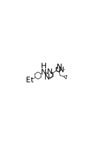 CC[C@H]1CC[C@H](Nc2nccc(-c3cnn(C)c3CC3CC3)n2)CC1